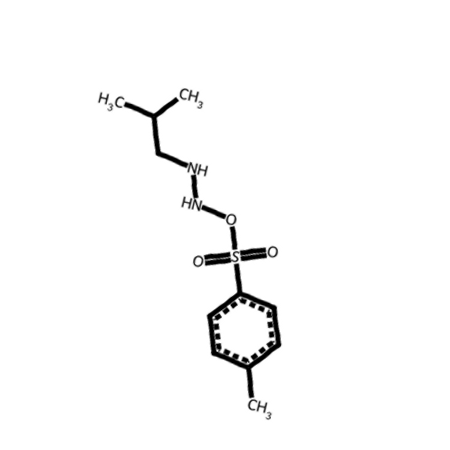 Cc1ccc(S(=O)(=O)ONNCC(C)C)cc1